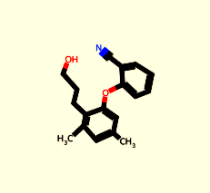 Cc1cc(C)c(CCCO)c(Oc2ccccc2C#N)c1